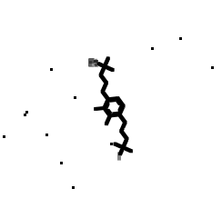 CCC(C)(C)CCCc1ccc(CCCC(C)(C)I)c(C)c1C